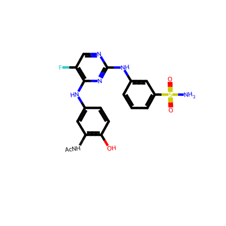 CC(=O)Nc1cc(Nc2nc(Nc3cccc(S(N)(=O)=O)c3)ncc2F)ccc1O